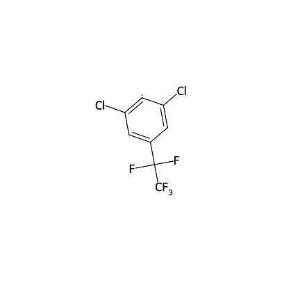 FC(F)(F)C(F)(F)c1cc(Cl)[c]c(Cl)c1